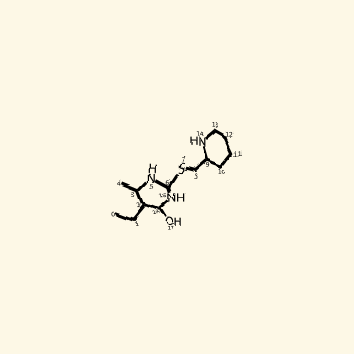 CCC1C(C)NC(SCC2CCCCN2)NC1O